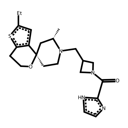 CCc1cc2c(s1)CCO[C@@]21CCN(CC2CN(C(=O)c3ncc[nH]3)C2)[C@@H](C)C1